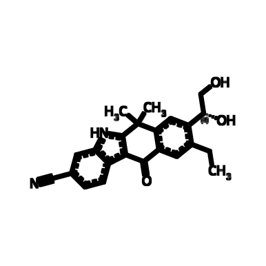 CCc1cc2c(cc1[C@@H](O)CO)C(C)(C)c1[nH]c3cc(C#N)ccc3c1C2=O